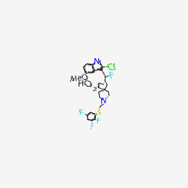 COc1ccc2ncc(Cl)c([C@@H](F)CCC3(C(=O)O)CCN(CCSc4cc(F)cc(F)c4F)CC3)c2c1